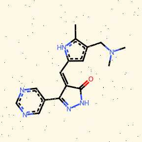 Cc1[nH]c(C=C2C(=O)NN=C2c2cncnc2)cc1CN(C)C